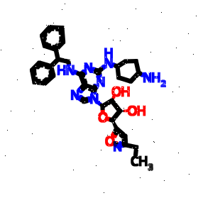 CCc1cc([C@H]2O[C@@H](n3cnc4c(NCC(c5ccccc5)c5ccccc5)nc(NC5CCC(N)CC5)nc43)[C@H](O)[C@@H]2O)on1